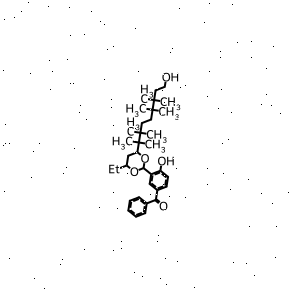 CCC1CC(C(C)(C)C(C)(C)CCC(C)(C)C(C)(C)CCO)OC(c2cc(C(=O)c3ccccc3)ccc2O)O1